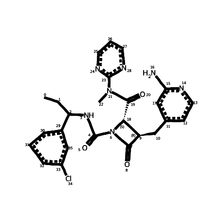 CCC(NC(=O)N1C(=O)[C@H](Cc2ccnc(N)c2)[C@H]1C(=O)N(C)c1ncccn1)c1cccc(Cl)c1